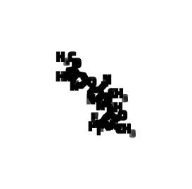 COc1c[nH]c2ncc(Oc3cnc4nc(Nc5cc(C(F)(F)F)cn(C)c5=O)n(C)c4c3C#N)cc12